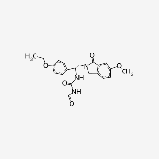 CCOc1ccc([C@H](CN2Cc3ccc(OC)cc3C2=O)NC(=O)NC=O)cc1